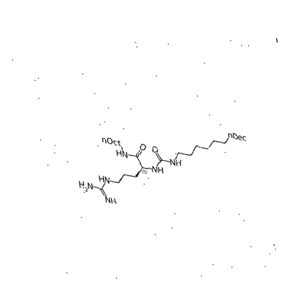 CCCCCCCCCCCCCCCCNC(=O)N[C@@H](CCCNC(=N)N)C(=O)NCCCCCCCC